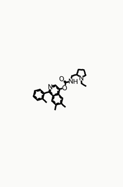 CCN1CCCC1CNC(=O)Oc1cnc(-c2ccccc2C)c2cc(C)c(C)cc12